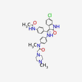 CC(=O)Nc1ccc(/C(Nc2ccc(N(C)C(=O)CN3CCN(C)CC3)cc2)=C2/C(=O)Nc3cc(Cl)ccc32)cc1